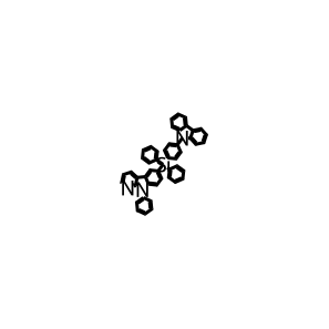 c1ccc(-n2c3ccc([Si](c4ccccc4)(c4ccccc4)c4ccc(-n5c6ccccc6c6ccccc65)cc4)cc3c3cccnc32)cc1